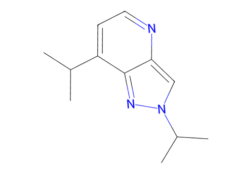 CC(C)c1ccnc2cn(C(C)C)nc12